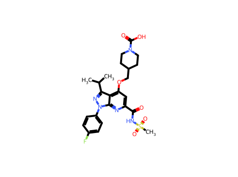 CC(C)c1nn(-c2ccc(F)cc2)c2nc(C(=O)NS(C)(=O)=O)cc(OCC3CCN(C(=O)O)CC3)c12